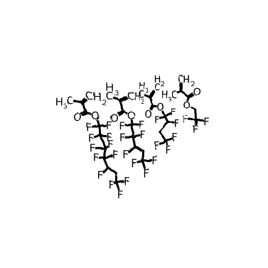 C=C(C)C(=O)OC(F)(F)C(F)(F)C(F)(F)C(F)(F)C(F)CC(F)(F)F.C=C(C)C(=O)OC(F)(F)C(F)(F)C(F)CC(F)(F)F.C=C(C)C(=O)OC(F)(F)C(F)CC(F)(F)F.C=C(C)C(=O)OCC(F)(F)F